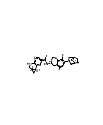 O=C(N[C@H]1COc2c(F)c(N3CC4CCC(C3)N4)cc(F)c2C1)c1cnc2c(c1)[C@H]1C[C@H]1CN2